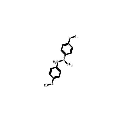 CCOc1ccc([SiH2][SiH]([SiH3])c2ccc(OCC)cc2)cc1